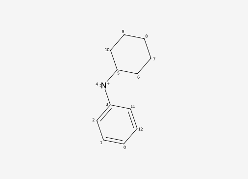 c1ccc([N+]C2CCCCC2)cc1